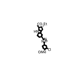 CCOC(=O)CC1CCc2c1[nH]c1ccc(-c3noc(-c4ccc(OC)c(Cl)c4)n3)cc21